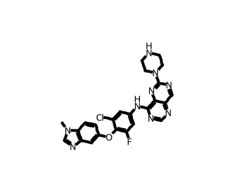 Cn1cnc2cc(Oc3c(F)cc(Nc4ncnc5cnc(N6CCNCC6)nc45)cc3Cl)ccc21